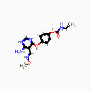 CCNC(=O)Oc1ccc(Oc2ncnc(N)c2C=NOC)cc1